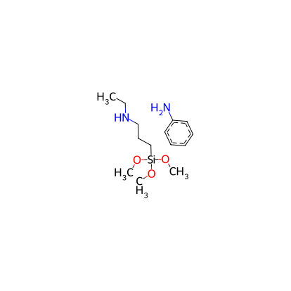 CCNCCC[Si](OC)(OC)OC.Nc1ccccc1